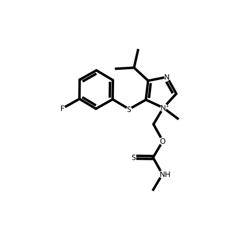 CNC(=S)OC[N+]1(C)C=NC(C(C)C)=C1Sc1cccc(F)c1